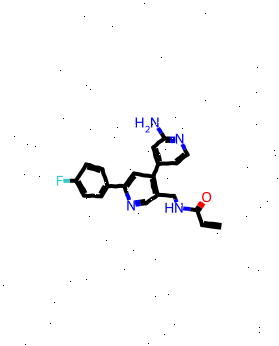 C=CC(=O)NCc1cnc(-c2ccc(F)cc2)cc1-c1ccnc(N)c1